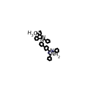 CN1CC=Cc2c1c1ccccc1c1c2nc(-c2ccccc2)n1-c1cccc(-c2ccc(C(=C/C(N)c3ccccc3)/N=C/c3ccccc3)cc2)c1